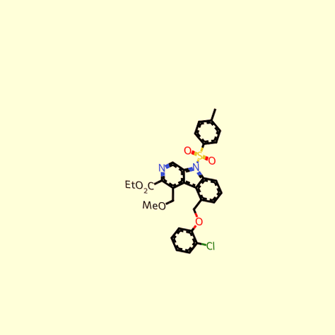 CCOC(=O)c1ncc2c(c1COC)c1c(COc3ccccc3Cl)cccc1n2S(=O)(=O)c1ccc(C)cc1